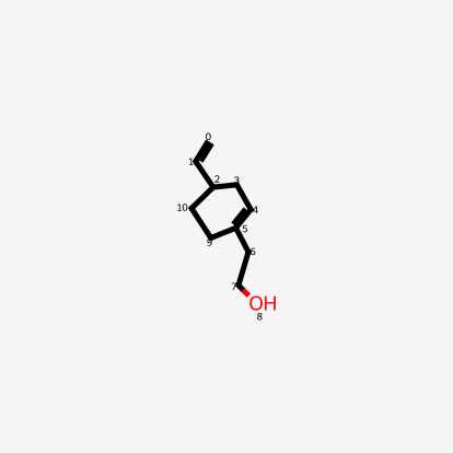 C=CC1CC=C(CCO)CC1